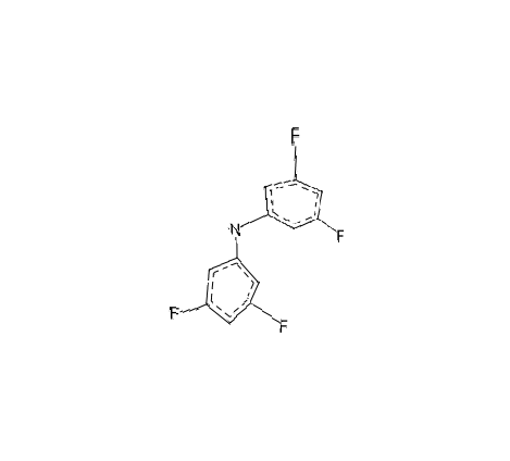 Fc1cc(F)cc([N]c2cc(F)cc(F)c2)c1